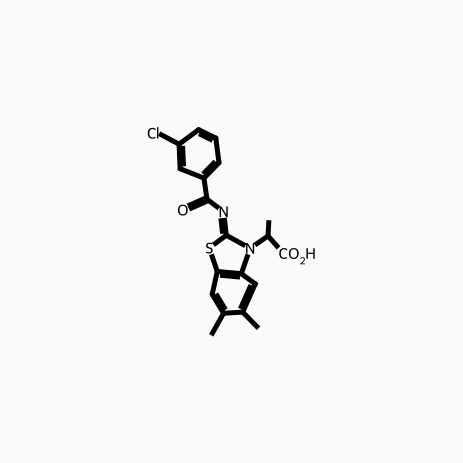 Cc1cc2s/c(=N\C(=O)c3cccc(Cl)c3)n(C(C)C(=O)O)c2cc1C